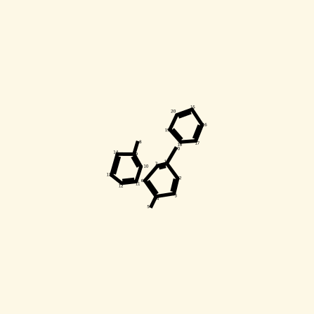 Cc1ccc(C)cc1.Cc1ccccc1.c1ccccc1